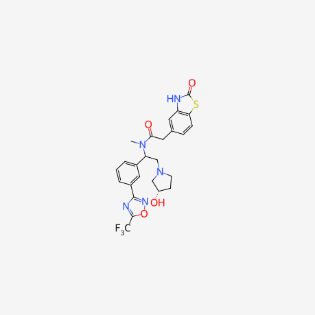 CN(C(=O)Cc1ccc2sc(=O)[nH]c2c1)C(CN1CC[C@H](O)C1)c1cccc(-c2noc(C(F)(F)F)n2)c1